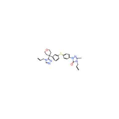 C=CCn1cnnc1C1(c2cccc(Sc3ccc(-n4nc(C)n(CC=C)c4=O)cc3)c2)CCOCC1